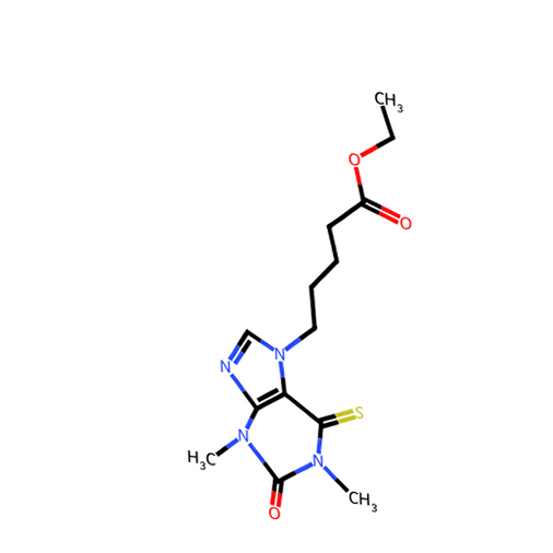 CCOC(=O)CCCCn1cnc2c1c(=S)n(C)c(=O)n2C